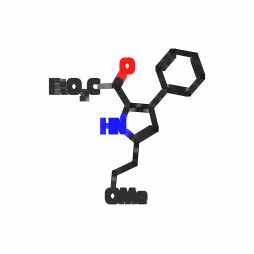 CCOC(=O)C(=O)c1[nH]c(CCOC)cc1-c1ccccc1